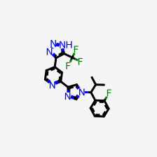 CC(C)C(c1ccccc1F)n1cnc(-c2cc(-c3nn[nH]c3C(F)(F)F)ccn2)c1